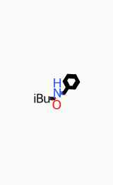 CCC(C)C(=O)NCc1ccccc1